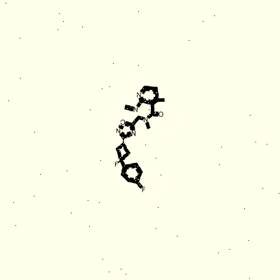 C=Nc1nccc(C)c1C(=O)N(C)Cc1nc([C@H]2C[C@](F)(c3ccc(F)cc3)C2)no1